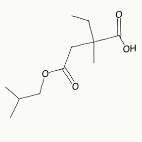 CCC(C)(CC(=O)OCC(C)C)C(=O)O